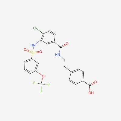 O=C(O)c1ccc(CCNC(=O)c2ccc(Cl)c(NS(=O)(=O)c3cccc(OC(F)(F)F)c3)c2)cc1